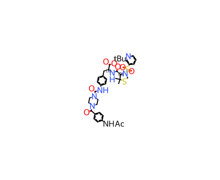 CC(=O)Nc1ccc(C(=O)N2CCN(C(=O)Nc3ccc(C[C@H](NC(=O)[C@H]4N(S(=O)(=O)c5cccnc5)CSC4(C)C)C(=O)OC(C)(C)C)cc3)CC2)cc1